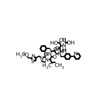 CC[C@H](C)[C@@H](C(=O)N[C@@H](Cc1ccccc1)[C@@H](O)CN(Cc1ccc(-c2ccccn2)cc1)NC(=O)[C@@H](NC(=O)O)[C@@H](C)O)N1CCN(Cc2csc(COC)n2)C1=O